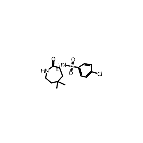 CC1(C)CCNC(=O)[C@@H](NS(=O)(=O)c2ccc(Cl)cc2)C1